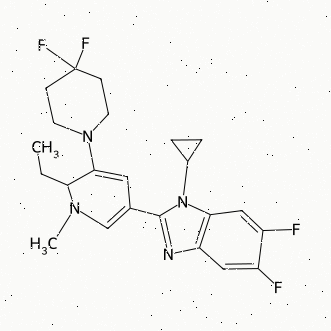 CCC1C(N2CCC(F)(F)CC2)=CC(c2nc3cc(F)c(F)cc3n2C2CC2)=CN1C